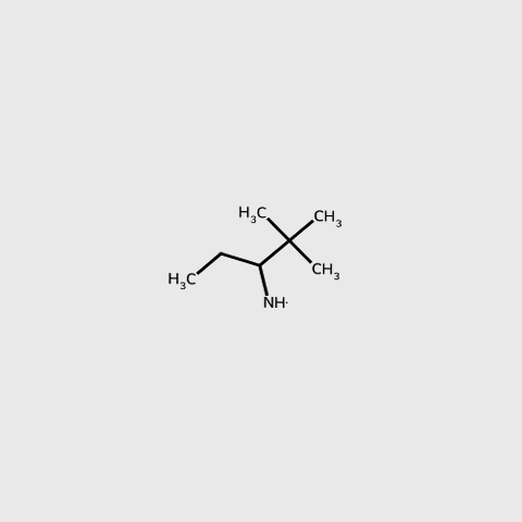 CCC([NH])C(C)(C)C